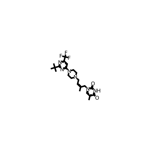 CC(=CCN1CCN(c2cc(C(F)(F)F)nc(C(C)(C)C)n2)CC1)Cn1cc(C)c(=O)[nH]c1=O